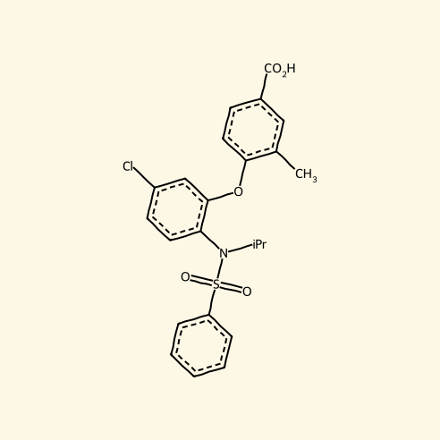 Cc1cc(C(=O)O)ccc1Oc1cc(Cl)ccc1N(C(C)C)S(=O)(=O)c1ccccc1